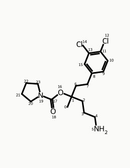 CC(CCCN)(CCc1ccc(Cl)c(Cl)c1)OC(=O)N1CCCC1